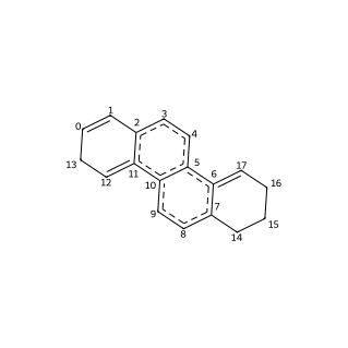 C1=Cc2ccc3c4c(ccc3c2=CC1)CCCC=4